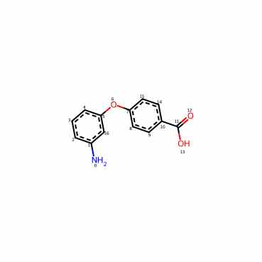 Nc1cccc(Oc2ccc(C(=O)O)cc2)c1